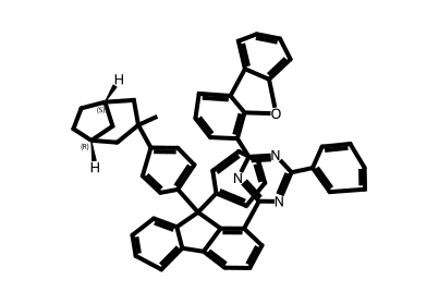 CC1(c2ccc(C3(c4ccccc4)c4ccccc4-c4cccc(-c5nc(-c6ccccc6)nc(-c6cccc7c6oc6ccccc67)n5)c43)cc2)C[C@@H]2CC[C@@H](C2)C1